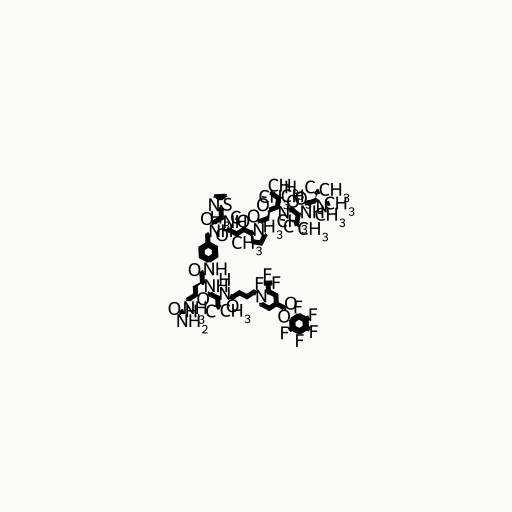 CC[C@H](C)[C@@H]([C@@H](CC(=O)N1CCC[C@H]1[C@H](OC)[C@@H](C)C(=O)N[C@H](C(=O)NCc1ccc(NC(=O)[C@H](CCCNC(N)=O)NC(=O)[C@@H](NC(=O)CCCN2CCC(C(=O)Oc3c(F)c(F)c(F)c(F)c3F)CC2C(F)(F)F)C(C)C)cc1)c1nccs1)OC)N(C)C(=O)[C@@H](NC(=O)[C@H](C(C)C)N(C)C)C(C)C